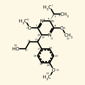 COC1=N[C@H](C(C)C)C(OC)=N[C@H]1C(CCO)c1ccc(OC)cc1